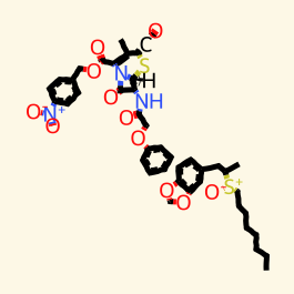 CC1=C(C(=O)OCc2ccc([N+](=O)[O-])cc2)N2C(=O)C(NC(=O)COc3ccccc3)[C@H]2SC1=C=O.CCCCCCCC[S+]([O-])C(C)Cc1ccc2c(c1)OCO2